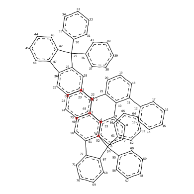 c1ccc(-c2ccccc2-c2c(-c3ccccc3)cccc2N(c2ccc3c(c2)C(c2ccccc2)(c2ccccc2)c2ccccc2-3)c2ccc3c(c2)C(c2ccccc2)(c2ccccc2)c2ccccc2-3)cc1